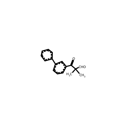 CC(C)(C=O)C(=O)c1cccc(-c2ccccc2)c1